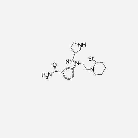 CCC1CCCCN1CCn1c(C2CCNC2)nc2c(C(N)=O)cccc21